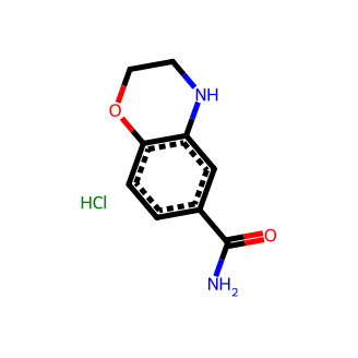 Cl.NC(=O)c1ccc2c(c1)NCCO2